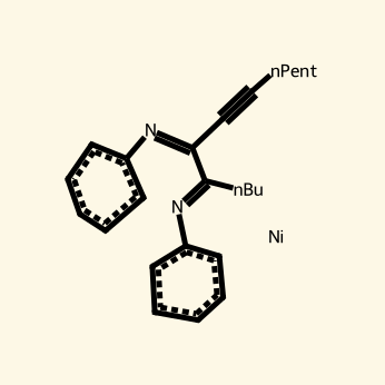 CCCCCC#CC(=Nc1ccccc1)C(CCCC)=Nc1ccccc1.[Ni]